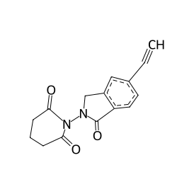 C#Cc1ccc2c(c1)CN(N1C(=O)CCCC1=O)C2=O